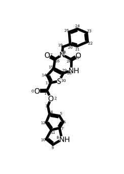 O=C(OCc1ccc2[nH]ccc2c1)c1cc2c(=O)n(Cc3ccccc3)c(=O)[nH]c2s1